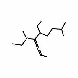 CC=C=C(C(CC)CCC(C)C)P(C)CC